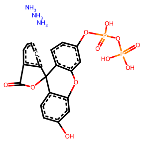 N.N.N.O=C1OC2(c3ccc(O)cc3Oc3cc(OP(=O)(O)OP(=O)(O)O)ccc32)c2ccccc21